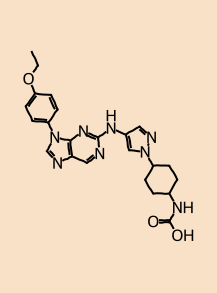 CCOc1ccc(-n2cnc3cnc(Nc4cnn(C5CCC(NC(=O)O)CC5)c4)nc32)cc1